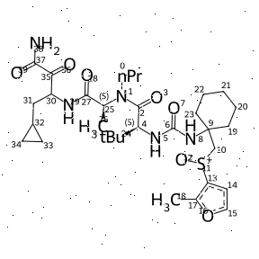 CCCN(C(=O)[C@@H](NC(=O)NC1(C[S+]([O-])c2ccoc2C)CCCCC1)C(C)(C)C)[C@@H](C)C(=O)NC(CC1CC1)C(=O)C(N)=O